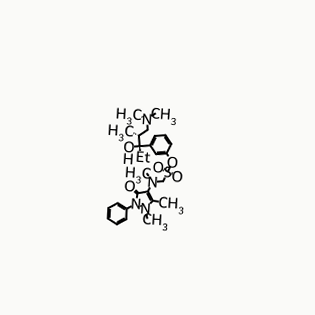 CC[C@](O)(c1cccc(OS(=O)(=O)CN(C)c2c(C)n(C)n(-c3ccccc3)c2=O)c1)[C@H](C)CN(C)C